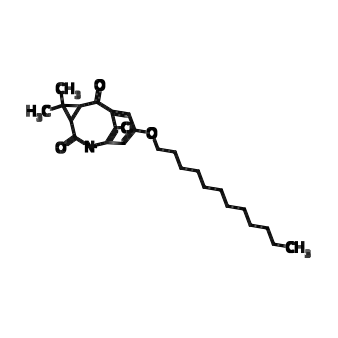 CCCCCCCCCCCCOc1cc2c(Cl)c(c1)C(=O)C1C(C(=O)[N]2)C1(C)C